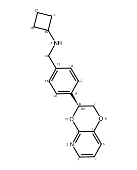 c1cnc2c(c1)OC[C@H](c1ccc(CNC3CCC3)cc1)O2